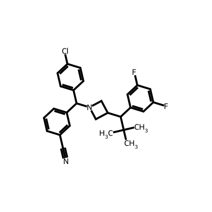 CC(C)(C)C(c1cc(F)cc(F)c1)C1CN(C(c2ccc(Cl)cc2)c2cccc(C#N)c2)C1